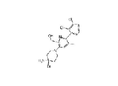 CCC1(N)CCN(c2cc(C)c(-c3cccc(Cl)c3Cl)nc2CO)CC1